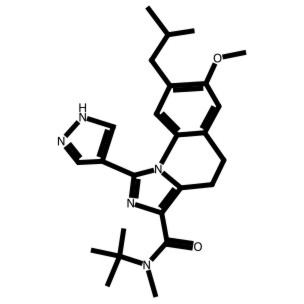 COc1cc2c(cc1CC(C)C)-n1c(-c3cn[nH]c3)nc(C(=O)N(C)C(C)(C)C)c1CC2